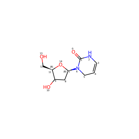 O=C1NC=CCN1[C@H]1CC(O)[C@@H](CO)O1